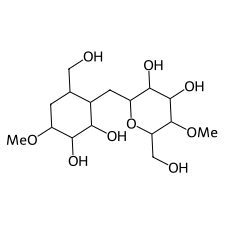 COC1CC(CO)C(CC2OC(CO)C(OC)C(O)C2O)C(O)C1O